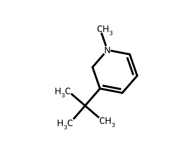 CN1C=CC=C(C(C)(C)C)C1